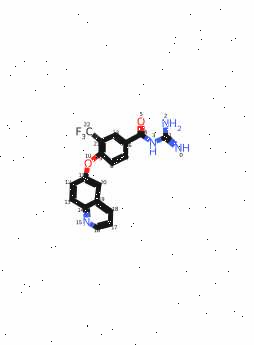 N=C(N)NC(=O)c1ccc(Oc2ccc3ncccc3c2)c(C(F)(F)F)c1